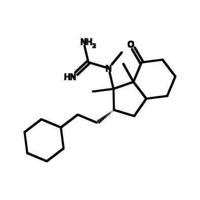 CN(C(=N)N)C1(C)[C@@H](CCC2CCCCC2)CC2CCCC(=O)C21C